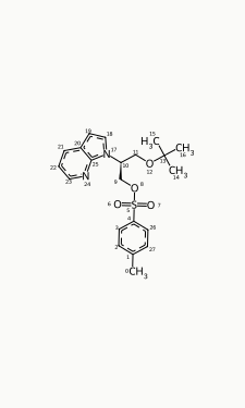 Cc1ccc(S(=O)(=O)OC[C@H](COC(C)(C)C)n2ccc3cccnc32)cc1